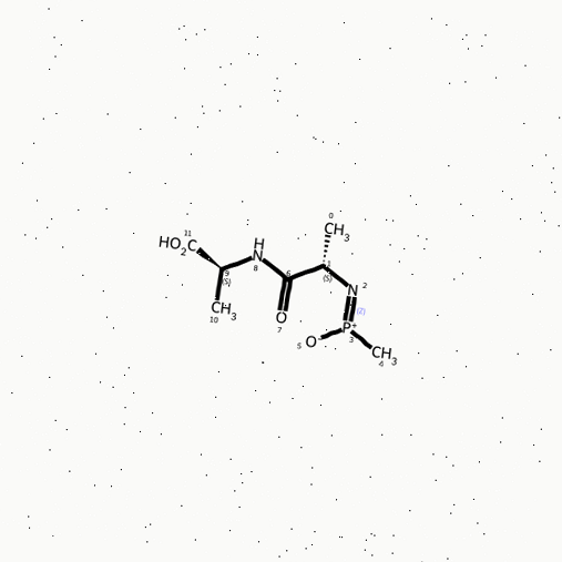 C[C@H](/N=[P+](/C)[O-])C(=O)N[C@@H](C)C(=O)O